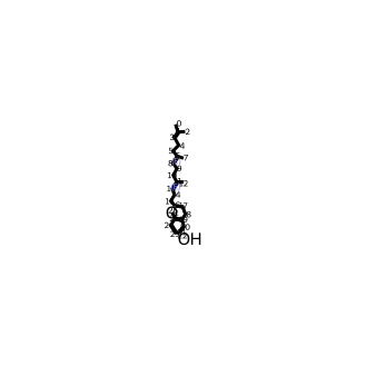 CC(C)=CCC/C(C)=C/CC/C(C)=C/CCC1CCc2cc(O)ccc2O1